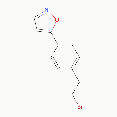 BrCCc1ccc(-c2ccno2)cc1